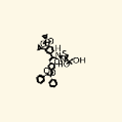 CC(O)(CO)c1csc(NC(=O)C(=C[C@H]2CCC3(C2)O[C@H](c2ccccc2)[C@@H](c2ccccc2)O3)c2ccc(S(=O)(=O)C3CC3)c(C3CC3)c2)n1